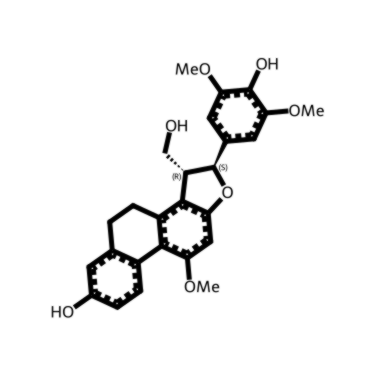 COc1cc([C@H]2Oc3cc(OC)c4c(c3[C@@H]2CO)CCc2cc(O)ccc2-4)cc(OC)c1O